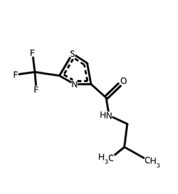 CC(C)CNC(=O)c1csc(C(F)(F)F)n1